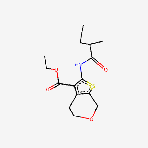 CCOC(=O)c1c(NC(=O)C(C)CC)sc2c1CCOC2